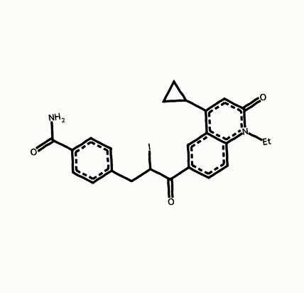 CCn1c(=O)cc(C2CC2)c2cc(C(=O)C(I)Cc3ccc(C(N)=O)cc3)ccc21